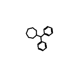 c1ccc([C](c2ccccc2)C2CCCCCC2)cc1